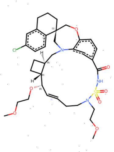 COCCO[C@H]1/C=C/CCN(CCOC)S(=O)(=O)NC(=O)c2ccc3c(c2)N(C[C@@H]2CC[C@H]21)C[C@@]1(CCCc2cc(Cl)ccc21)CO3